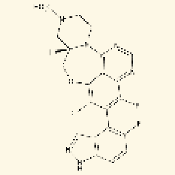 O=C(O)N1CCN2c3ncnc4c(F)c(-c5c(F)ccc6[nH]ncc56)c(Cl)c(c34)OC[C@@H]2C1